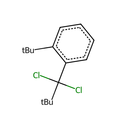 CC(C)(C)c1ccccc1C(Cl)(Cl)C(C)(C)C